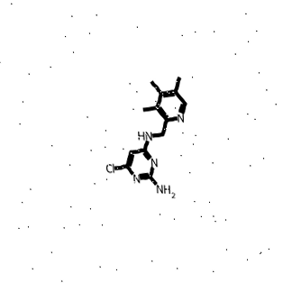 Cc1cnc(CNc2cc(Cl)nc(N)n2)c(C)c1C